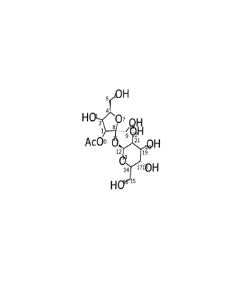 CC(=O)OC1C(O)[C@@H](CO)O[C@@]1(CO)O[C@@H]1OC(CO)[C@@H](O)C(O)C1O